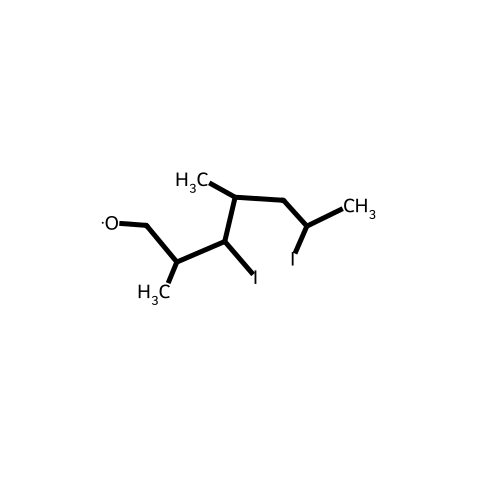 CC(I)CC(C)C(I)C(C)C[O]